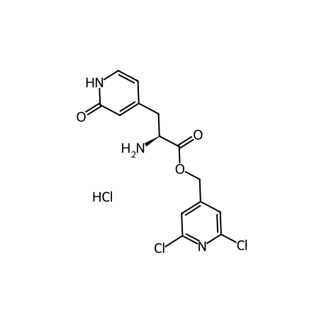 Cl.N[C@@H](Cc1cc[nH]c(=O)c1)C(=O)OCc1cc(Cl)nc(Cl)c1